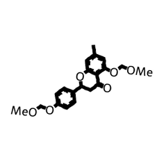 COCOc1ccc(C2CC(=O)c3c(OCOC)cc(C)cc3O2)cc1